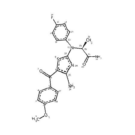 COc1ccc(C(=O)c2sc(N(c3ccc(F)cc3)[C@@H](C)C(N)=O)nc2N)cc1